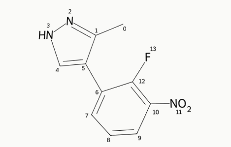 Cc1n[nH]cc1-c1cccc([N+](=O)[O-])c1F